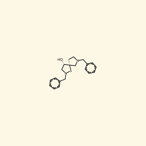 O[C@H]1CN(Cc2ccccc2)S[C@@]12CCN(Cc1ccccc1)C2